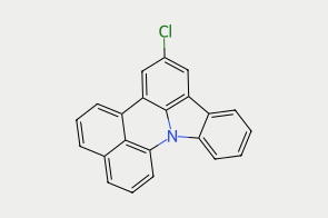 Clc1cc2c3cccc4cccc(c43)n3c4ccccc4c(c1)c23